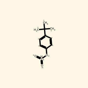 CC(C)(C)c1ccc(O[SH](=O)=O)cc1